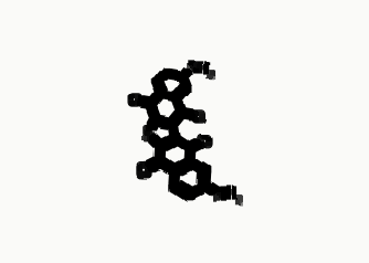 Nc1ccc2c(=O)c3sc4c(=O)c5ccc(N)cc5c(=O)c4c3c(=O)c2c1